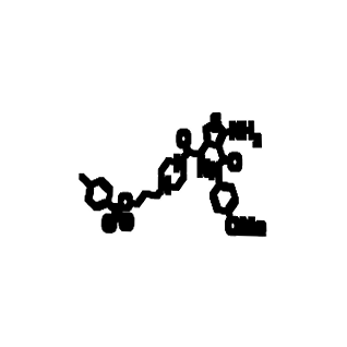 COc1ccc(-n2nc(C(=O)N3CCN(CCCOS(=O)(=O)c4ccc(C)cc4)CC3)c3csc(N)c3c2=O)cc1